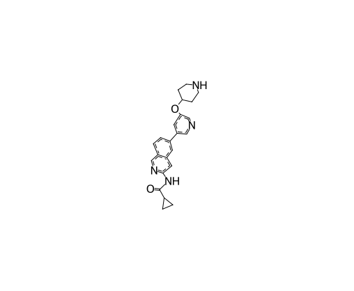 O=C(Nc1cc2cc(-c3cncc(OC4CCNCC4)c3)ccc2cn1)C1CC1